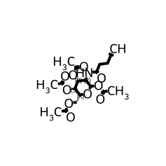 C#CCCC(=O)N[C@H]1C(OC(C)=O)O[C@H](COC(C)=O)[C@@H](OC(C)=O)[C@@H]1OC(C)=O